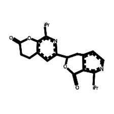 CC(C)c1nc(C2Cc3ccnc(C(C)C)c3C(=O)O2)cc2c1OC(=O)CC2